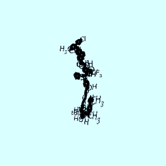 Cc1ncsc1-c1ccc([C@H](C)NC(=O)[C@@H]2C[C@@H](O)CN2C(=O)[C@@H](NC(=O)COCCOCCOCC(O)N2CCN(CC[C@H](CSc3ccccc3)Nc3ccc(S(=O)(=O)NC(=O)c4ccc5c(c4)CCC4CN(CC6=C(c7ccc(Cl)cc7)CCC(C)(C)C6)CCN54)cc3S(=O)(=O)C(F)(F)F)CC2)C(C)(C)C)cc1